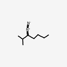 CCCCC(=[N+]=[N-])C(C)C